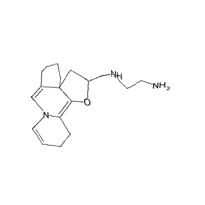 NCCNC1CC23CCCCC2=CN2C=CCCC2=C3O1